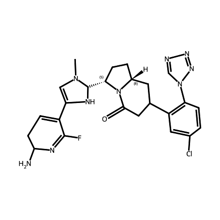 CN1C=C(C2=CCC(N)N=C2F)NC1[C@@H]1CC[C@@H]2CC(c3cc(Cl)ccc3-n3cnnn3)CC(=O)N21